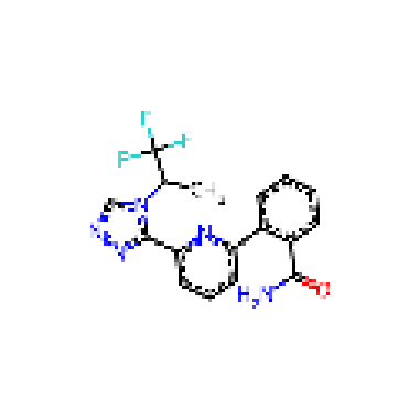 CC(n1cnnc1-c1cccc(-c2ccccc2C(N)=O)n1)C(F)(F)F